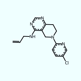 C=CCNc1ncnc2c1CN(c1ccc(Cl)cn1)CC2